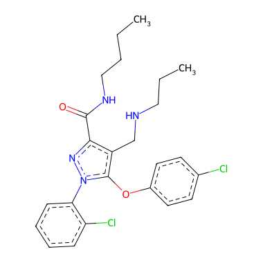 CCCCNC(=O)c1nn(-c2ccccc2Cl)c(Oc2ccc(Cl)cc2)c1CNCCC